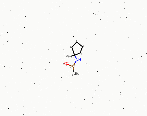 [2H]C1(N[S+]([O-])C(C)(C)C)CCCC1